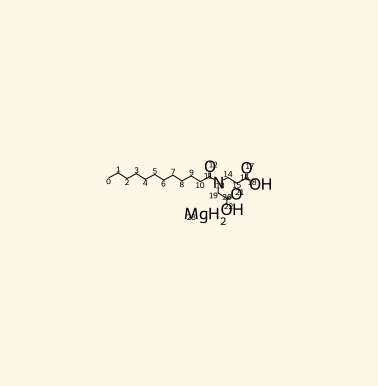 CCCCCCCCCCCC(=O)N(CCC(=O)O)CC(=O)O.[MgH2]